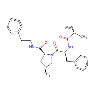 CN[C@@H](C)C(=O)N[C@@H](Cc1ccccc1)C(=O)N1C[C@@H](C)C[C@H]1C(=O)NCCc1ccccc1